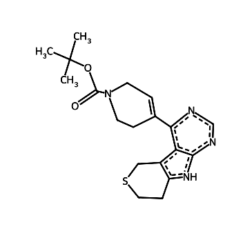 CC(C)(C)OC(=O)N1CC=C(c2ncnc3[nH]c4c(c23)CSCC4)CC1